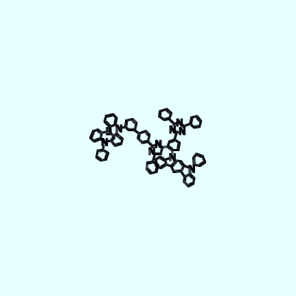 c1ccc(-c2cc(-c3cc(-c4nc(-c5ccccc5)nc(-c5ccccc5)n4)ccc3-n3c4ccccc4c4cc5c6ccccc6n(-c6ccccc6)c5cc43)nc(-c3ccc(-c4cccc(N5c6ccccc6B6c7ccccc7N(c7ccccc7)c7cccc5c76)c4)cc3)n2)cc1